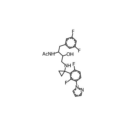 CC(=O)NC(Cc1cc(F)cc(F)c1)C(O)CNC1(c2c(F)ccc(-n3cccn3)c2F)CC1